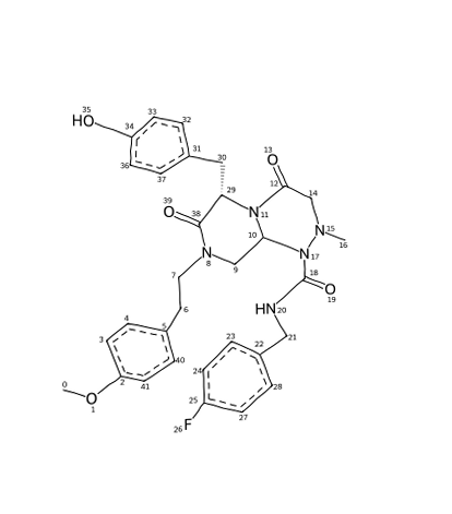 COc1ccc(CCN2CC3N(C(=O)CN(C)N3C(=O)NCc3ccc(F)cc3)[C@@H](Cc3ccc(O)cc3)C2=O)cc1